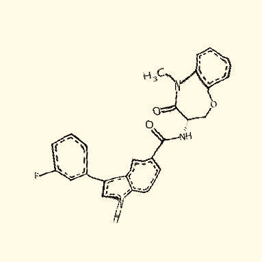 CN1C(=O)[C@@H](NC(=O)c2ccc3[nH]cc(-c4cccc(F)c4)c3c2)COc2ccccc21